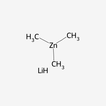 [CH3][Zn]([CH3])[CH3].[LiH]